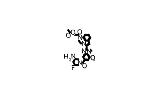 COc1cc(C(=O)N2CC(N)C[C@@H](F)C2)cc2nc(-c3cc4cccc5c4n3CCN5C(=O)COC(C)=O)n(C)c12